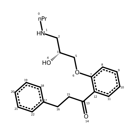 CCCNC[C@@H](O)COc1ccccc1C(=O)CCc1ccccc1